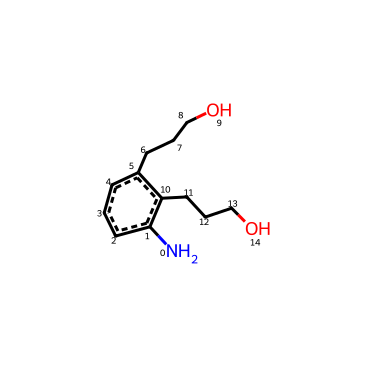 Nc1cccc(CCCO)c1CCCO